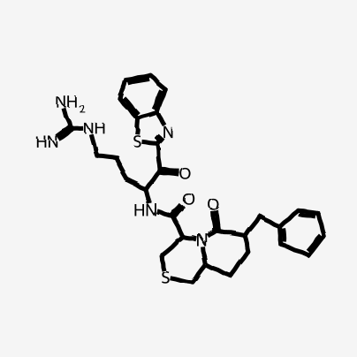 N=C(N)NCCCC(NC(=O)C1CSCC2CCC(Cc3ccccc3)C(=O)N21)C(=O)c1nc2ccccc2s1